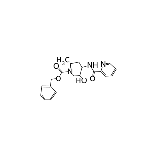 CC1CC(NC(=O)c2ccccn2)C(O)CN1C(=O)OCc1ccccc1